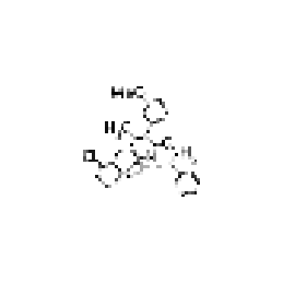 COc1cccc(-c2c(C)c(Cc3c(Cl)cccc3Cl)c(C)n(CC(N)c3ccccc3)c2=O)c1